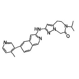 Cc1ccncc1-c1ccc2cnc(Nc3cc4n(n3)CC(=O)N(C(C)C)CC4)cc2c1